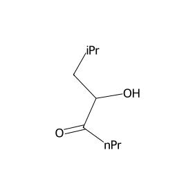 CCCC(=O)C(O)CC(C)C